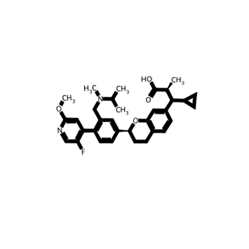 COc1cc(-c2ccc([C@@H]3CCc4ccc(C(C5CC5)[C@H](C)C(=O)O)cc4O3)cc2CN(C)C(C)C)c(F)cn1